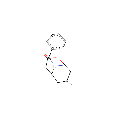 NC1CC2CC(=O)OC(C1)N2Cc1ccccc1